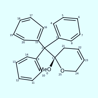 CO[C@@]1(C(c2ccccc2)(c2ccccc2)c2ccccc2)CC=CCO1